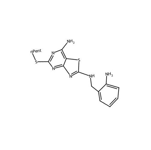 CCCCCSc1nc(N)c2sc(NCc3ccccc3N)nc2n1